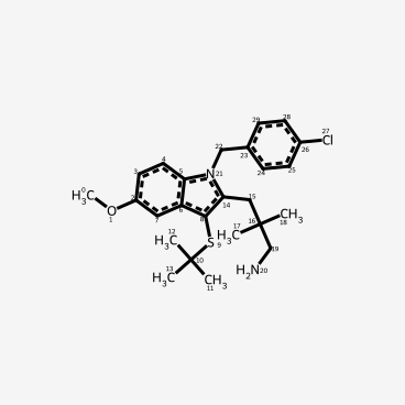 COc1ccc2c(c1)c(SC(C)(C)C)c(CC(C)(C)CN)n2Cc1ccc(Cl)cc1